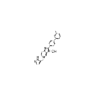 Cc1cccc(-c2ccc(-c3nc4ccn(Cc5ccn[nH]5)cc-4n3)cc2)c1.Cl